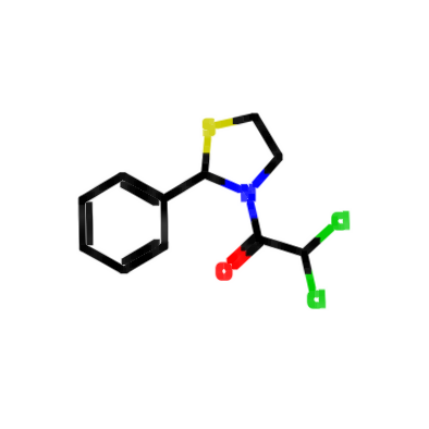 O=C(C(Cl)Cl)N1CCSC1c1ccccc1